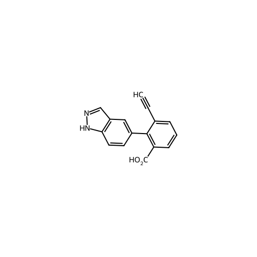 C#Cc1cccc(C(=O)O)c1-c1ccc2[nH]ncc2c1